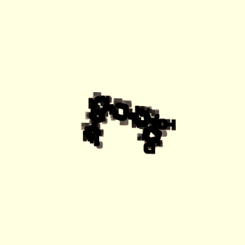 Cn1cc(-c2cc3c(N4CCN(c5ncc([C@](C)(O)c6ccc(Cl)cc6)cn5)CC4)ncnn3c2)cn1